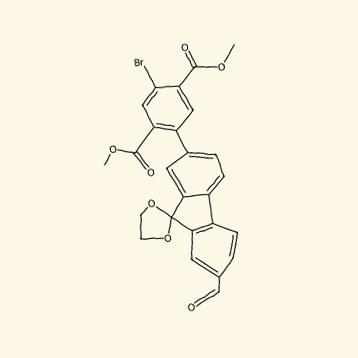 COC(=O)c1cc(-c2ccc3c(c2)C2(OCCO2)c2cc(C=O)ccc2-3)c(C(=O)OC)cc1Br